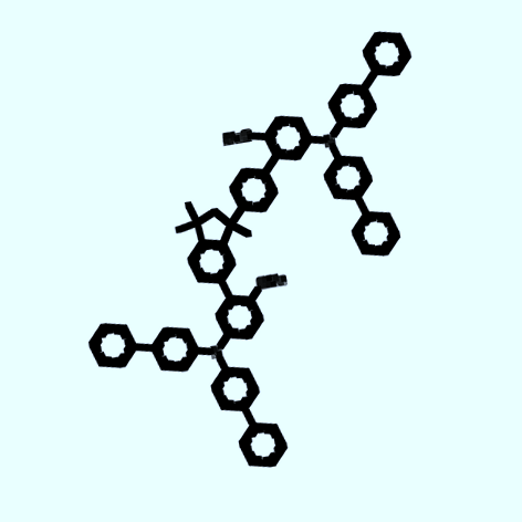 COc1ccc(N(c2ccc(-c3ccccc3)cc2)c2ccc(-c3ccccc3)cc2)cc1-c1ccc(C2(C)CC(C)(C)c3ccc(-c4cc(N(c5ccc(-c6ccccc6)cc5)c5ccc(-c6ccccc6)cc5)ccc4OC)cc32)cc1